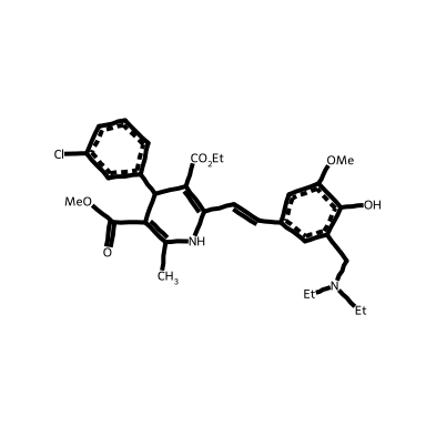 CCOC(=O)C1=C(C=Cc2cc(CN(CC)CC)c(O)c(OC)c2)NC(C)=C(C(=O)OC)C1c1cccc(Cl)c1